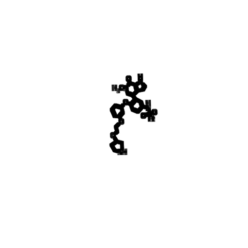 CCS(=O)(=O)Nc1ccc(Oc2cccc(OCCOC3CCNCC3)c2)c(-c2cn(C)c(=O)c3[nH]ccc23)c1